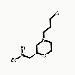 CCN(CC)C[C@H]1CN(CCCCl)CCO1